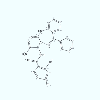 NC(=O)N(NC(=O)c1ncc(C(F)(F)F)cc1Br)C1N=C(c2ccccc2)c2ccccc2NC1=O